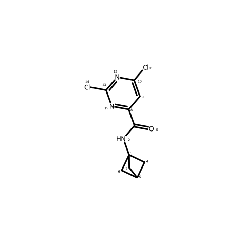 O=C(NC12CC(C1)C2)c1cc(Cl)nc(Cl)n1